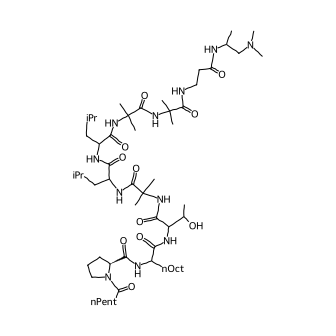 CCCCCCCCC(NC(=O)[C@@H]1CCCN1C(=O)CCCCC)C(=O)NC(C(=O)NC(C)(C)C(=O)NC(CC(C)C)C(=O)NC(CC(C)C)C(=O)NC(C)(C)C(=O)NC(C)(C)C(=O)NCCC(=O)NC(C)CN(C)C)C(C)O